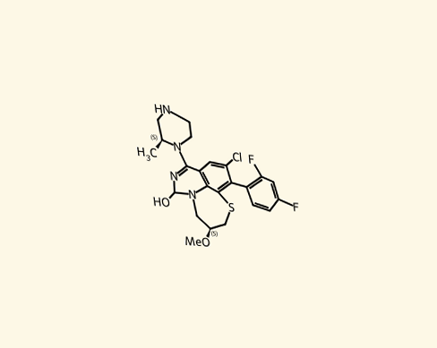 CO[C@@H]1CSc2c(-c3ccc(F)cc3F)c(Cl)cc3c2N(C1)C(O)N=C3N1CCNC[C@@H]1C